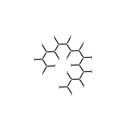 II(I)I(I)I(I)I(I)I(I)I(I)I(I)I(I)I(I)I(I)I(I)I(I)I(I)I(I)I